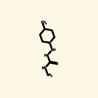 CC1CCN(NNC(=S)NN)CC1